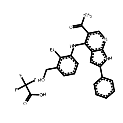 CCc1c(CO)cccc1Nc1c(C(N)=O)cnc2[nH]c(-c3ccccc3)cc12.O=C(O)C(F)(F)F